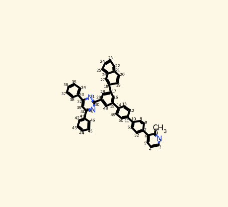 Cc1ncccc1-c1ccc(-c2ccc(-c3cc(-c4ccc5ccccc5c4)cc(-c4nc(-c5ccccc5)cc(-c5ccccc5)n4)c3)cc2)cc1